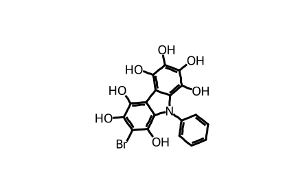 Oc1c(O)c(O)c2c(c1O)c1c(O)c(O)c(Br)c(O)c1n2-c1ccccc1